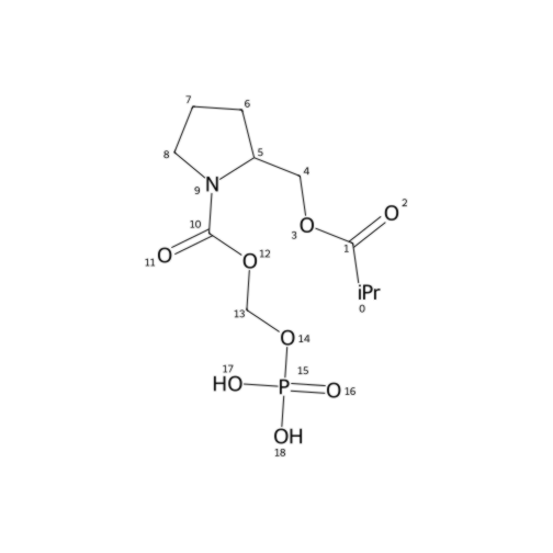 CC(C)C(=O)OCC1CCCN1C(=O)OCOP(=O)(O)O